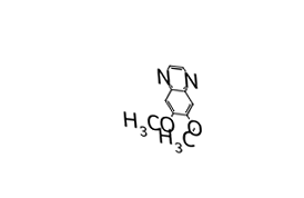 COc1cc2nccnc2cc1OC